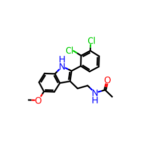 COc1ccc2[nH]c(-c3cccc(Cl)c3Cl)c(CCNC(C)=O)c2c1